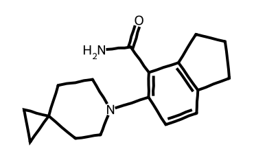 NC(=O)c1c(N2CCC3(CC2)CC3)ccc2c1CCC2